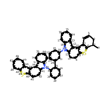 CC1CC=Cc2c1sc1ccc3c(c4ccccc4n3-c3cccc(-c4ccccc4-n4c5ccccc5c5c6c(ccc54)sc4ccccc46)c3)c21